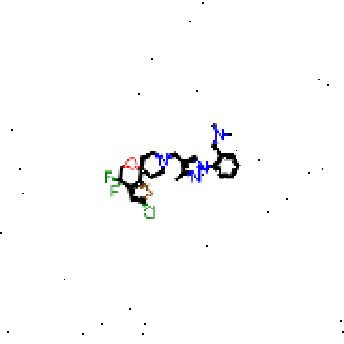 Cc1nn(-c2ccccc2CN(C)C)cc1CN1CCC2(CC1)OCC(F)(F)c1cc(Cl)sc12